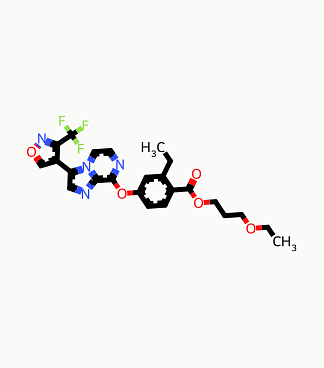 CCOCCCOC(=O)c1ccc(Oc2nccn3c(-c4conc4C(F)(F)F)cnc23)cc1CC